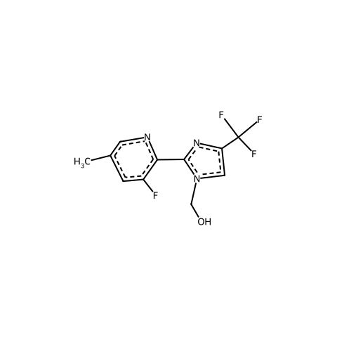 Cc1cnc(-c2nc(C(F)(F)F)cn2CO)c(F)c1